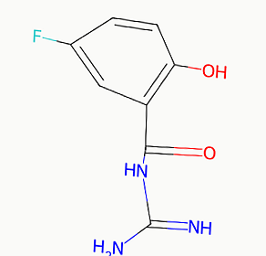 N=C(N)NC(=O)c1cc(F)ccc1O